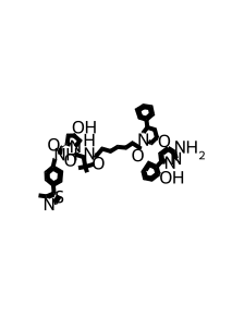 Cc1ncsc1-c1ccc(CNC(=O)[C@@H]2C[C@@H](O)CN2C(=O)[C@@H](NC(=O)CCCCCC(=O)N2CC(Oc3cc(-c4ccccc4O)nnc3N)CC(c3ccccc3)C2)C(C)(C)C)cc1